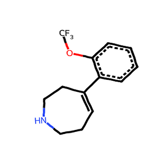 FC(F)(F)Oc1ccccc1C1=CCCNCC1